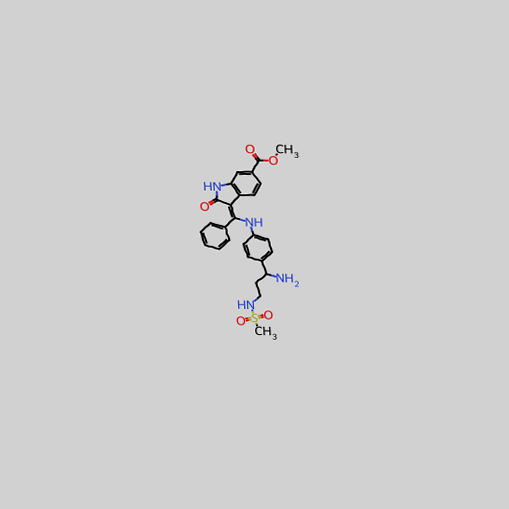 COC(=O)c1ccc2c(c1)NC(=O)C2=C(Nc1ccc(C(N)CCNS(C)(=O)=O)cc1)c1ccccc1